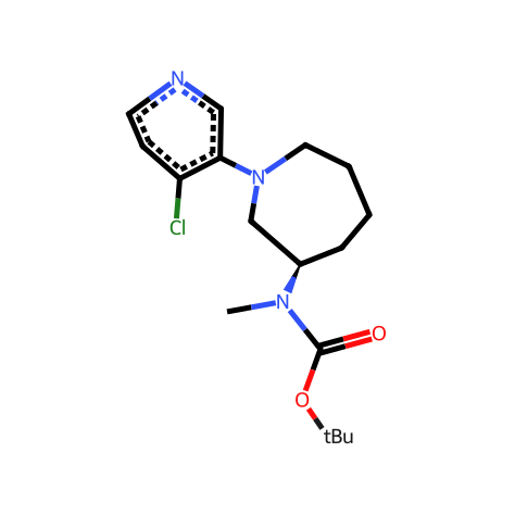 CN(C(=O)OC(C)(C)C)[C@@H]1CCCCN(c2cnccc2Cl)C1